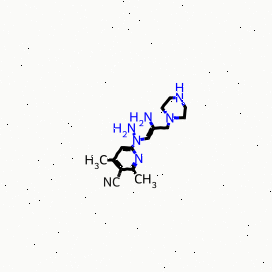 Cc1cc(N(N)/C=C(\N)CN2CCNCC2)nc(C)c1C#N